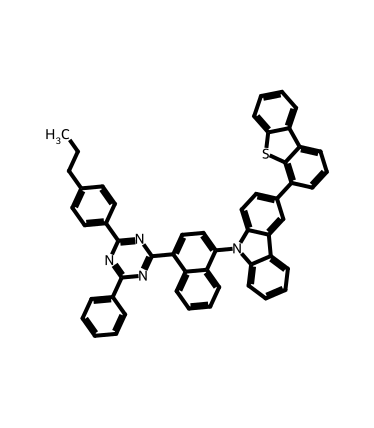 CCCc1ccc(-c2nc(-c3ccccc3)nc(-c3ccc(-n4c5ccccc5c5cc(-c6cccc7c6sc6ccccc67)ccc54)c4ccccc34)n2)cc1